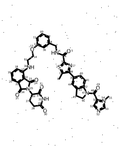 Cc1sc(C(=O)NCc2cccc(OCCNc3cccc4c3C(=O)N(C3CCC(=O)NC3=O)C4=O)c2)nc1-c1ccc2c(c1)CCN2C(=O)c1cncn1C